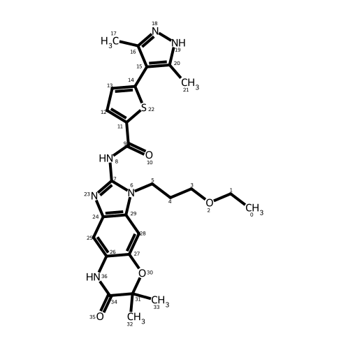 CCOCCCn1c(NC(=O)c2ccc(-c3c(C)n[nH]c3C)s2)nc2cc3c(cc21)OC(C)(C)C(=O)N3